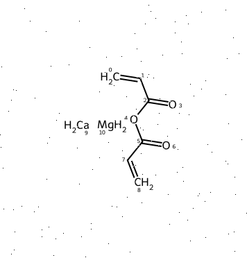 C=CC(=O)OC(=O)C=C.[CaH2].[MgH2]